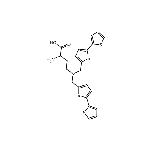 NC(CCN(Cc1ccc(-c2cccs2)s1)Cc1ccc(-c2cccs2)s1)C(=O)O